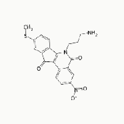 CSc1ccc2c(c1)C(=O)c1c-2n(CCCN)c(=O)c2cc([N+](=O)[O-])ccc12